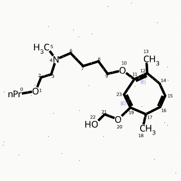 CCCOCCN(C)CCCCOC1=C(\C)CC=CC(C)/C(OCO)=C\1